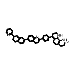 C/C=C\C1=C(N)C2NC=CC(c3ccc(-c4ccc5cc(-c6ccc7ccc(-c8ccccn8)cc7c6)ccc5n4)cc3)=C2C=C1